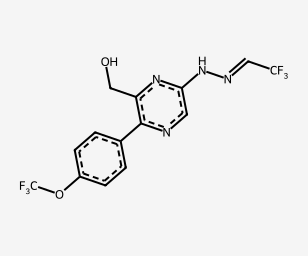 OCc1nc(NN=CC(F)(F)F)cnc1-c1ccc(OC(F)(F)F)cc1